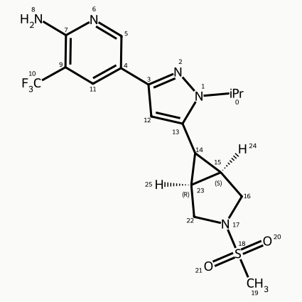 CC(C)n1nc(-c2cnc(N)c(C(F)(F)F)c2)cc1C1[C@H]2CN(S(C)(=O)=O)C[C@@H]12